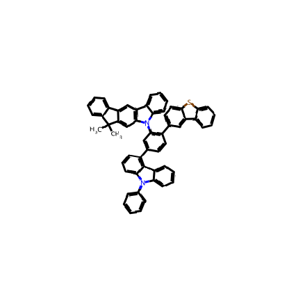 CC1(C)c2ccccc2-c2cc3c4ccccc4n(-c4cc(-c5cccc6c5c5ccccc5n6-c5ccccc5)ccc4-c4ccc5sc6ccccc6c5c4)c3cc21